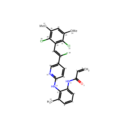 C=CC(=O)Nc1cccc(C)c1Nc1ccc(/C(F)=C/c2c(Cl)c(OC)cc(OC)c2Cl)cn1